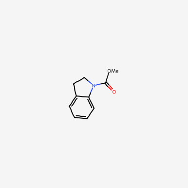 COC(=O)N1C[CH]c2ccccc21